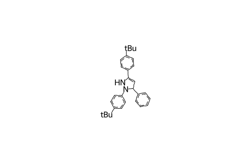 CC(C)(C)c1ccc(C2=CC(c3ccccc3)N(c3ccc(C(C)(C)C)cc3)N2)cc1